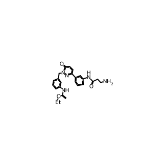 C=C(Nc1cccc(Cn2nc(-c3cccc(NC(=O)CCN)c3)ccc2=O)c1)OCC